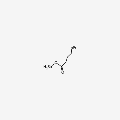 CCCCCCC(=O)[O][SbH2]